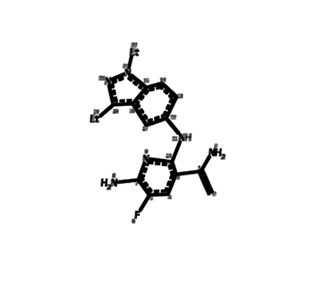 C=C(N)c1cc(F)c(N)nc1Nc1ccc2c(c1)c(CC)nn2CC